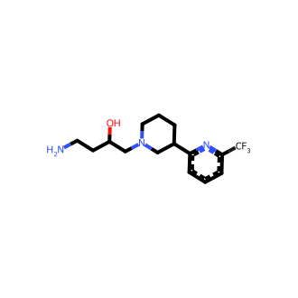 NCCC(O)CN1CCCC(c2cccc(C(F)(F)F)n2)C1